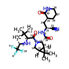 CC(C)(C)[C@H](NCC(F)(F)F)C(=O)N1C[C@H]2[C@@H]([C@H]1C(=O)N[C@H](C#N)C[C@@H]1CCCNC1=O)C2(C)C